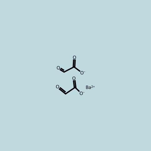 O=CC(=O)[O-].O=CC(=O)[O-].[Ba+2]